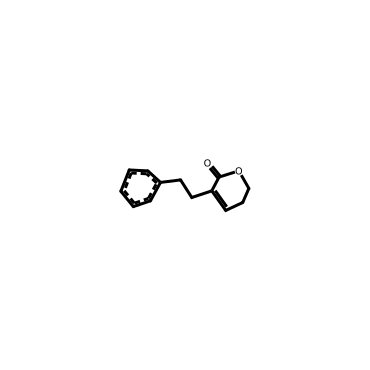 O=C1OCCC=C1CCc1ccccc1